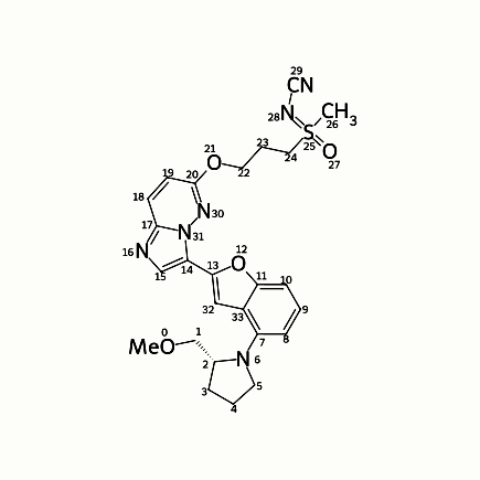 COC[C@H]1CCCN1c1cccc2oc(-c3cnc4ccc(OCCCS(C)(=O)=NC#N)nn34)cc12